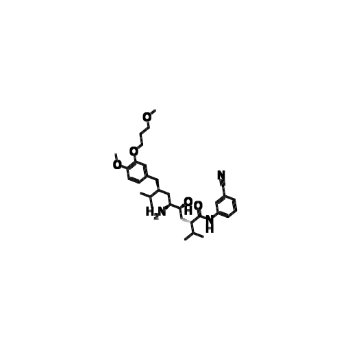 COCCCOc1cc(C[C@@H](C[C@H](N)[C@@H](O)C[C@H](C(=O)Nc2cccc(C#N)c2)C(C)C)C(C)C)ccc1OC